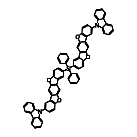 c1ccc([Si](c2ccccc2)(c2ccc3oc4cc5c(cc4c3c2)oc2ccc(-n3c4ccccc4c4ccccc43)cc25)c2ccc3oc4cc5c(cc4c3c2)oc2ccc(-n3c4ccccc4c4ccccc43)cc25)cc1